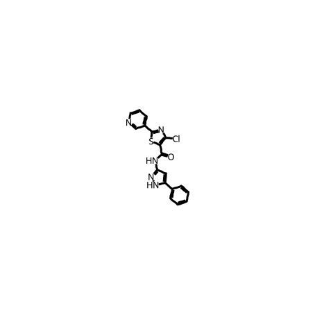 O=C(Nc1cc(-c2ccccc2)[nH]n1)c1sc(-c2cccnc2)nc1Cl